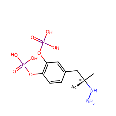 CC(=O)[C@](C)(Cc1ccc(OP(=O)(O)O)c(OP(=O)(O)O)c1)NN